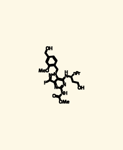 CCC[C@@H](CCO)Nc1nc(NC(=O)OC)nc2c(F)nn(Cc3ccc(CO)cc3OC)c12